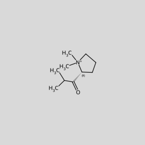 CC(C)C(=O)[C@H]1CCC[N+]1(C)C